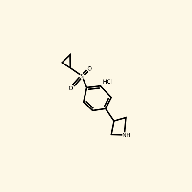 Cl.O=S(=O)(c1ccc(C2CNC2)cc1)C1CC1